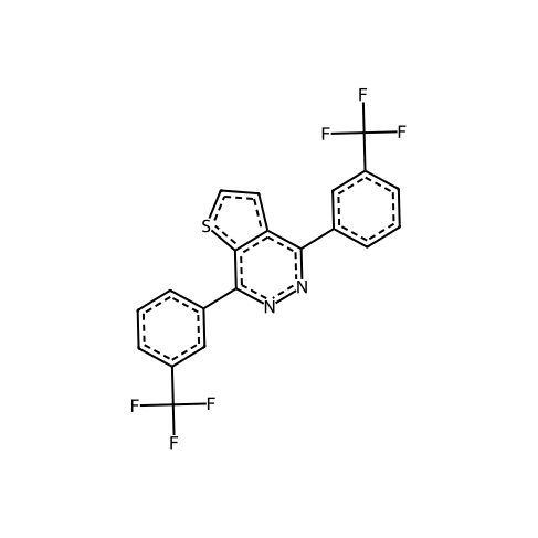 FC(F)(F)c1cccc(-c2nnc(-c3cccc(C(F)(F)F)c3)c3sccc23)c1